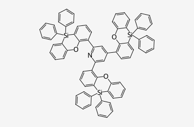 c1ccc([Si]2(c3ccccc3)c3ccccc3Oc3c(-c4cc(-c5cccc6c5Oc5ccccc5[Si]6(c5ccccc5)c5ccccc5)nc(-c5cccc6c5Oc5ccccc5[Si]6(c5ccccc5)c5ccccc5)c4)cccc32)cc1